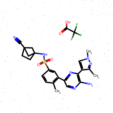 Cc1ccc(S(=O)(=O)NC23CCC(C#N)(C2)C3)cc1-c1cnc(N)c(-c2cn(C)nc2C)n1.O=C(O)C(F)(F)F